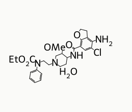 CCOC(=O)N(CCN1CCC(NC(=O)c2cc(Cl)c(N)c3c2OCC3)C(OC)C1)c1ccccc1.O